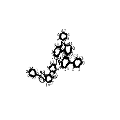 c1ccc(-c2ccc(N(c3ccc4c(c3)oc3ccc5oc(-c6ccccc6)nc5c34)c3cccc4c3c3ccccc3n4-c3ccccc3)cc2)cc1